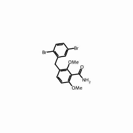 COc1ccc(Cc2cc(Br)ccc2Br)c(OC)c1C(N)=O